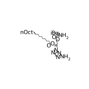 CCCCCCCCC=CCCCCCCCC(=O)OC[C@H](CCOC(=O)[C@@H](N)[C@@H](C)CC)Cn1cnc2cnc(N)nc21